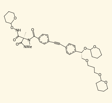 CNC(=O)[C@@](C)(C(=O)NOC1CCCCO1)N(C)C(=O)c1ccc(C#Cc2ccc([C@@H](COCCCOC3CCCCO3)OC3CCCCO3)cc2)cc1